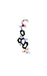 COC(=O)Nc1ccc([C@H]2Nc3ccc(S(N)(=O)=O)cc3[C@H]3C=CC[C@H]32)cc1